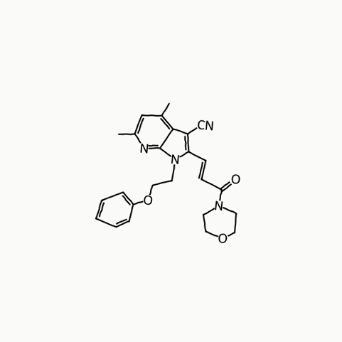 Cc1cc(C)c2c(C#N)c(/C=C/C(=O)N3CCOCC3)n(CCOc3ccccc3)c2n1